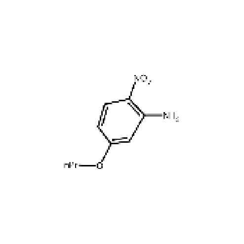 CCCOc1ccc([N+](=O)[O-])c(N)c1